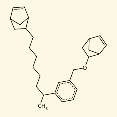 CC(CCCCCCC1CC2C=CC1C2)c1cccc(COC2CC3C=CC2C3)c1